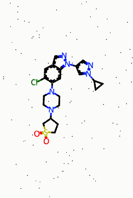 O=S1(=O)CCC(N2CCN(c3cc4c(cnn4-c4cnn(C5CC5)c4)cc3Cl)CC2)C1